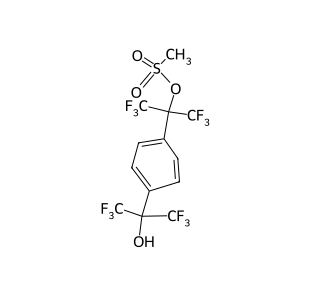 CS(=O)(=O)OC(c1ccc(C(O)(C(F)(F)F)C(F)(F)F)cc1)(C(F)(F)F)C(F)(F)F